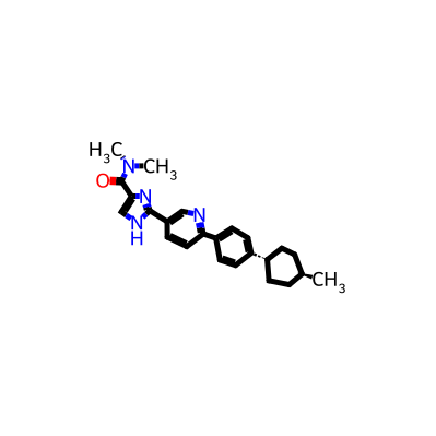 CN(C)C(=O)c1c[nH]c(-c2ccc(-c3ccc([C@H]4CC[C@H](C)CC4)cc3)nc2)n1